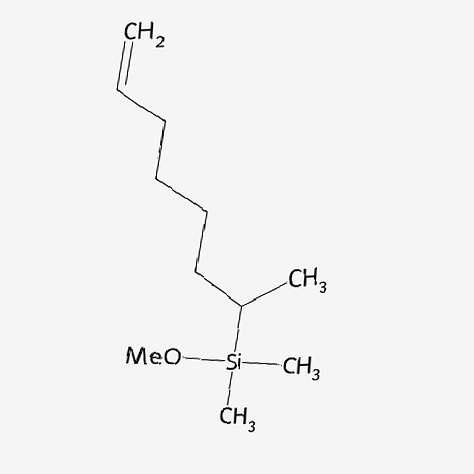 C=CCCCCC(C)[Si](C)(C)OC